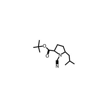 CC(C)CC1CCC(C(=O)OC(C)(C)C)N1C#N